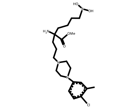 COC(=O)C(N)(CCCCB(O)O)CCCN1CCN(c2ccc(Cl)c(C)c2)CC1